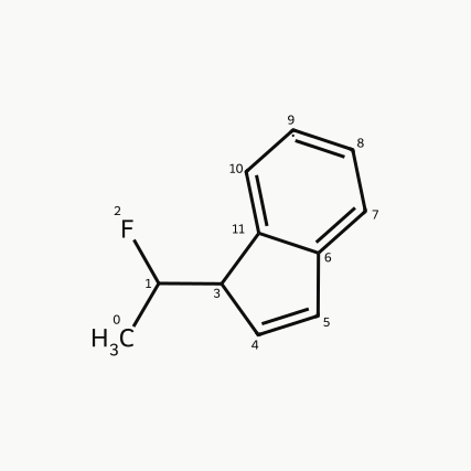 CC(F)C1C=Cc2cc[c]cc21